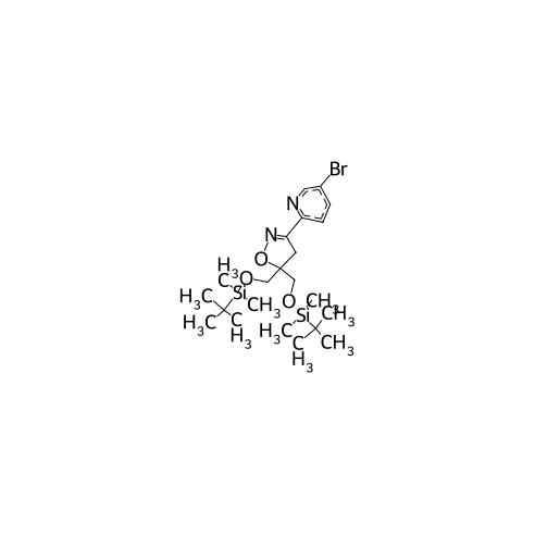 CC(C)(C)[Si](C)(C)OCC1(CO[Si](C)(C)C(C)(C)C)CC(c2ccc(Br)cn2)=NO1